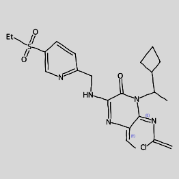 C=C(Cl)/N=C1\C(=C/C)N=C(NCc2ccc(S(=O)(=O)CC)cn2)C(=O)N1C(C)C1CCC1